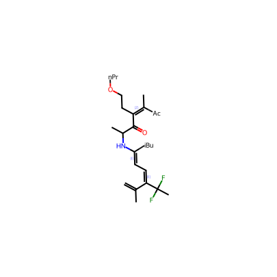 C=C(C)/C(=C\C=C(\NC(C)C(=O)/C(CCOCCC)=C(/C)C(C)=O)C(C)CC)C(C)(F)F